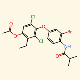 CCc1c(OC(C)=O)cc(Cl)c(Oc2ccc(NC(=O)C(C)C)c(Br)c2)c1Cl